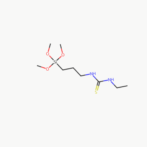 CCNC(=S)NCCC[Si](OC)(OC)OC